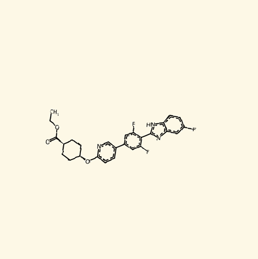 CCOC(=O)[C@H]1CC[C@@H](Oc2ccc(-c3cc(F)c(-c4nc5cc(F)ccc5[nH]4)c(F)c3)cn2)CC1